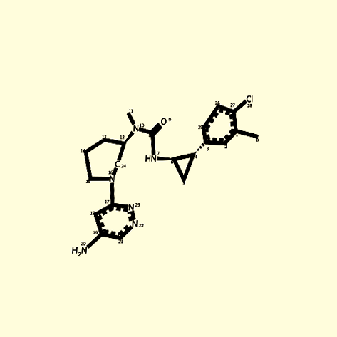 Cc1cc([C@@H]2C[C@H]2NC(=O)N(C)[C@@H]2CCCN(c3cc(N)cnn3)C2)ccc1Cl